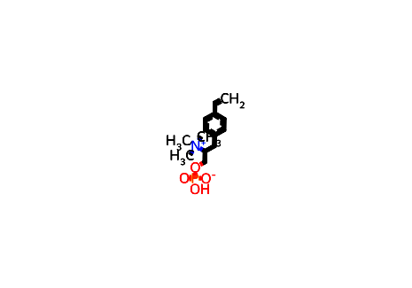 C=Cc1ccc(CC(COP(=O)([O-])O)[N+](C)(C)C)cc1